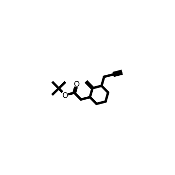 C#CCC1CCCC(CC(=O)OC(C)(C)C)C1=C